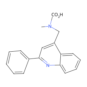 CN(Cc1cc(-c2ccccc2)nc2ccccc12)C(=O)O